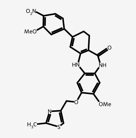 COc1cc2c(cc1OCc1csc(C)n1)NC1=C(CCC(c3ccc([N+](=O)[O-])c(OC)c3)=C1)C(=O)N2